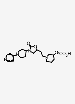 O=C(O)OC1CCCN(CCC2CN(C3CCN(c4ccncc4)CC3)C(=O)O2)C1